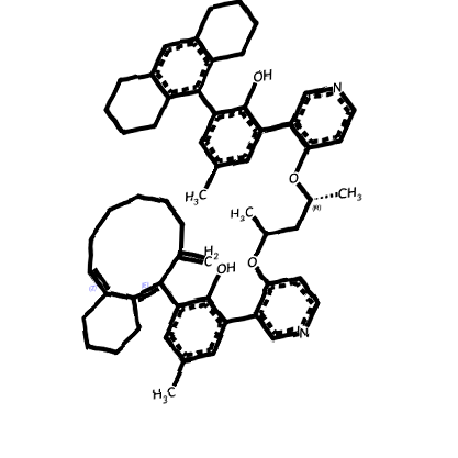 C=C1CCCCC/C=C2/CCCC/C2=C/1c1cc(C)cc(-c2cnccc2OC(C)C[C@@H](C)Oc2ccncc2-c2cc(C)cc(-c3c4c(cc5c3CCCC5)CCCC4)c2O)c1O